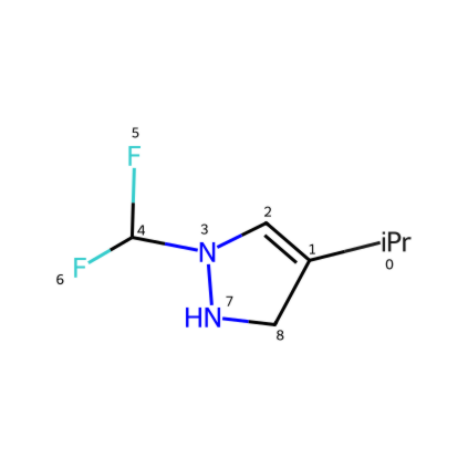 CC(C)C1=CN(C(F)F)NC1